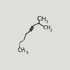 CCCCC#CC(C)C